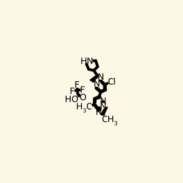 Cc1cn2nc(-c3cc(Cl)c4nc(C5CCNCC5)cn4c3)cc(C)c2n1.O=C(O)C(F)(F)F